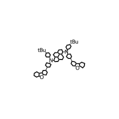 CC(C)(C)c1ccc(N(c2ccc(-c3ccc4oc5ccccc5c4c3)cc2)c2ccc3ccc4c(N(c5ccc(-c6ccc7oc8ccccc8c7c6)cc5)c5ccc(C(C)(C)C)cc5)ccc5ccc2c3c54)cc1